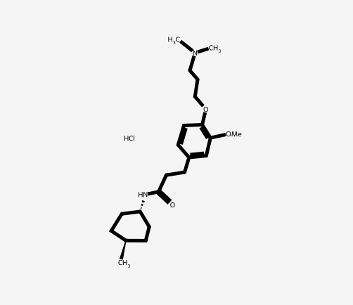 COc1cc(CCC(=O)N[C@H]2CC[C@H](C)CC2)ccc1OCCCN(C)C.Cl